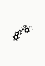 FC(F)(F)c1cccc(C(=S)NCc2cnc3ccccc3c2)c1Cl